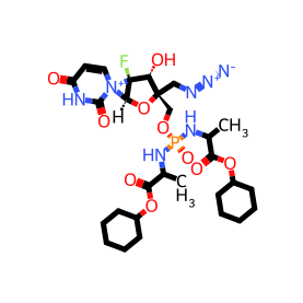 CC(NP(=O)(NC(C)C(=O)OC1CCCCC1)OC[C@@]1(CN=[N+]=[N-])O[C@@H]2[C@@](F)([C@@H]1O)[N+]21C=CC(=O)NC1=O)C(=O)OC1CCCCC1